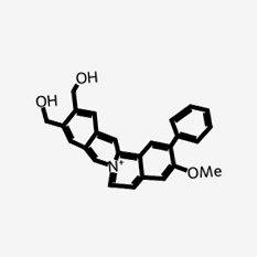 COc1cc2cc[n+]3cc4cc(CO)c(CO)cc4cc3c2cc1-c1ccccc1